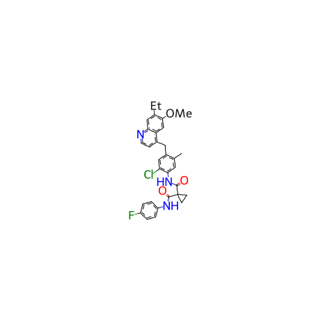 CCc1cc2nccc(Cc3cc(Cl)c(NC(=O)C4(C(=O)Nc5ccc(F)cc5)CC4)cc3C)c2cc1OC